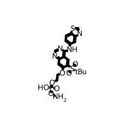 CC(C)(C)S(=O)(=O)c1cc2c(Nc3ccc4scnc4c3)ncnc2cc1OCCOP(=O)(O)ON